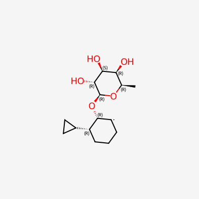 C[C@H]1O[C@@H](O[C@@H]2[CH]CCC[C@@H]2C2CC2)[C@H](O)[C@@H](O)[C@H]1O